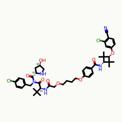 CC(C)(C)[C@H](NC(=O)COCCCCOc1ccc(C(=O)N[C@H]2C(C)(C)[C@H](Oc3ccc(C#N)c(Cl)c3)C2(C)C)cc1)C(=O)N(Cc1ccc(Cl)cc1)C(=O)[C@@H]1C[C@@H](O)CN1